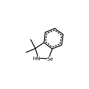 CC1(C)N[Se]c2ccccc21